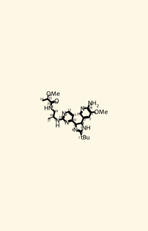 COc1cc(C2NC(C(C)(C)C)=NC2c2ccnc(N[C@@H](C)CNC(=O)[C@@H](C)OC)n2)cnc1N